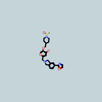 C[S+]([O-])N1CCC(COc2coc(CN3Cc4ccc(-c5ncco5)cc4C3)cc2=O)CC1